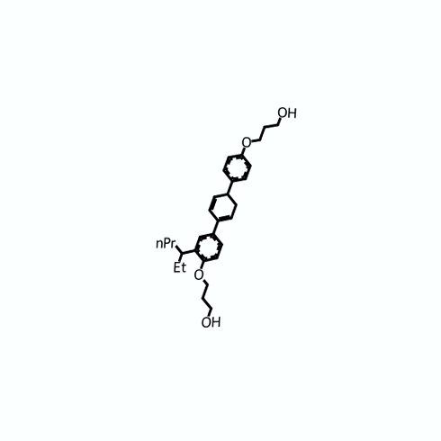 CCCC(CC)c1cc(C2=CCC(c3ccc(OCCCO)cc3)C=C2)ccc1OCCCO